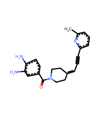 Cc1cccc(C#CC=C2CCN(C(=O)c3ccc(N)c(N)c3)CC2)n1